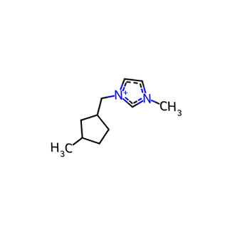 CC1CCC(C[n+]2ccn(C)c2)C1